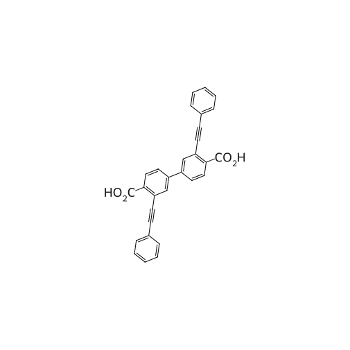 O=C(O)c1ccc(-c2ccc(C(=O)O)c(C#Cc3ccccc3)c2)cc1C#Cc1ccccc1